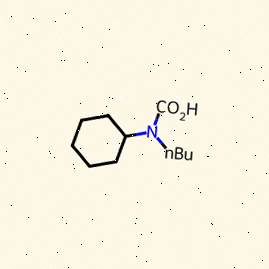 CCCCN(C(=O)O)C1CCCCC1